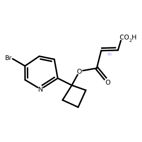 O=C(O)/C=C/C(=O)OC1(c2ccc(Br)cn2)CCC1